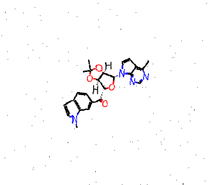 Cc1ncnc2c1ccn2[C@@H]1O[C@H](C(=O)c2ccc3ccn(C)c3c2)[C@H]2OC(C)(C)O[C@H]21